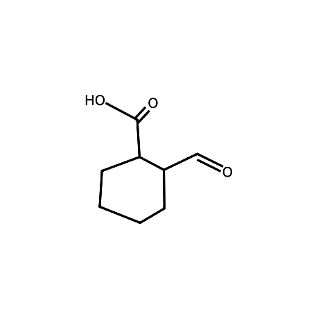 O=CC1CCCCC1C(=O)O